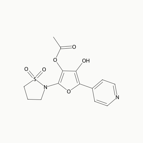 CC(=O)Oc1c(N2CCCS2(=O)=O)oc(-c2ccncc2)c1O